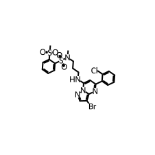 CN(CCCNc1cc(-c2ccccc2Cl)nc2c(Br)cnn12)S(=O)(=O)c1ccccc1S(C)(=O)=O